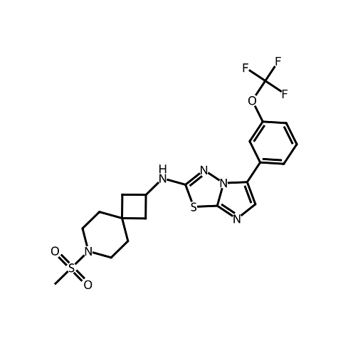 CS(=O)(=O)N1CCC2(CC1)CC(Nc1nn3c(-c4cccc(OC(F)(F)F)c4)cnc3s1)C2